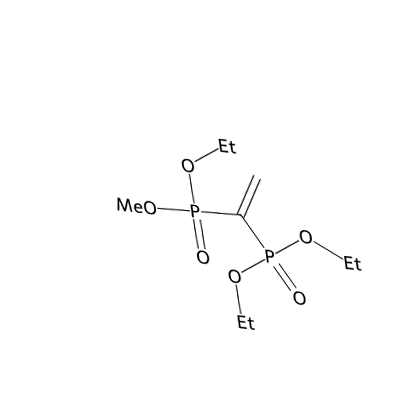 C=C(P(=O)(OC)OCC)P(=O)(OCC)OCC